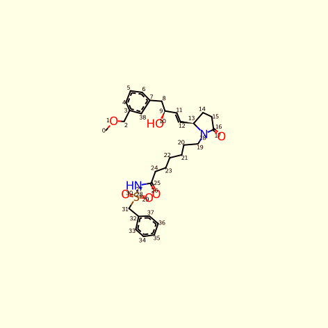 COCc1cccc(C[C@H](O)/C=C/[C@H]2CCC(=O)N2CCCCCCC(=O)NS(=O)(=O)Cc2ccccc2)c1